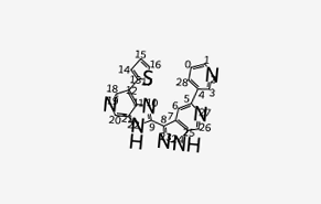 c1cncc(-c2cc3c(-c4nc5c(-c6cccs6)cncc5[nH]4)n[nH]c3cn2)c1